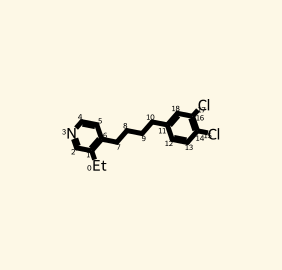 CCc1cnccc1CCCCc1ccc(Cl)c(Cl)c1